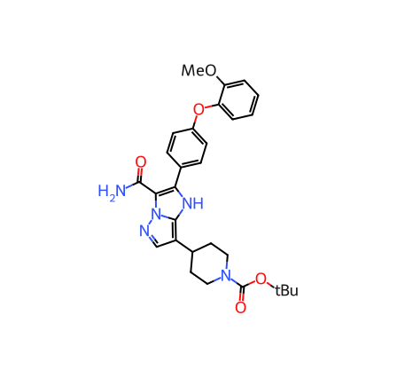 COc1ccccc1Oc1ccc(-c2[nH]c3c(C4CCN(C(=O)OC(C)(C)C)CC4)cnn3c2C(N)=O)cc1